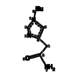 CCC(C)n1cnc(CC(N)=O)c1